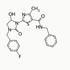 Cc1nc(N2C(=O)N(Cc3ccc(F)cc3)CC2O)sc1C(=O)NCc1ccccc1